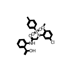 C=C(O)c1ccccc1NC(=O)CN(c1cc(Cl)ccc1OC)S(=O)(=O)c1ccc(C)cc1